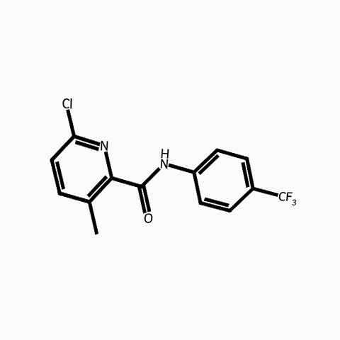 Cc1ccc(Cl)nc1C(=O)Nc1ccc(C(F)(F)F)cc1